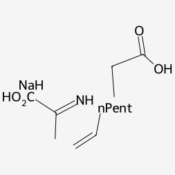 C=CCCCCC.CC(=N)C(=O)O.CCC(=O)O.[NaH]